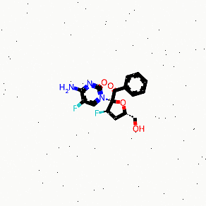 Nc1nc(=O)n([C@]2(C(=O)c3ccccc3)O[C@H](CO)C[C@H]2F)cc1F